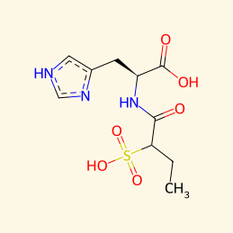 CCC(C(=O)N[C@@H](Cc1c[nH]cn1)C(=O)O)S(=O)(=O)O